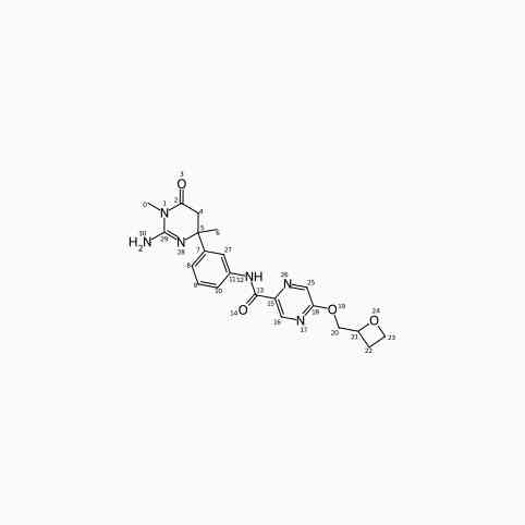 CN1C(=O)CC(C)(c2cccc(NC(=O)c3cnc(OCC4CCO4)cn3)c2)N=C1N